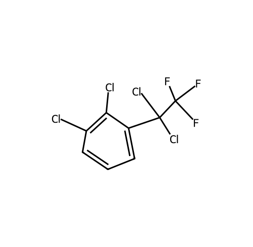 FC(F)(F)C(Cl)(Cl)c1cccc(Cl)c1Cl